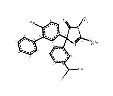 CN1C(=O)C(c2ccnc(C(F)F)c2)(c2ccc(F)c(-c3ccccc3)c2)N=C1N